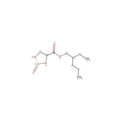 CCCC(CC)COC(=O)C1CO[S@@](=O)O1